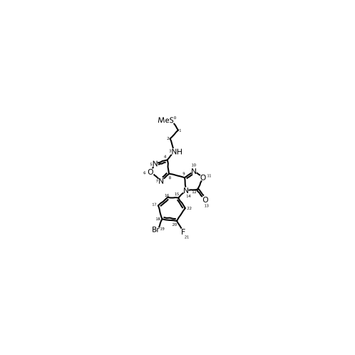 CSCCNc1nonc1-c1noc(=O)n1-c1ccc(Br)c(F)c1